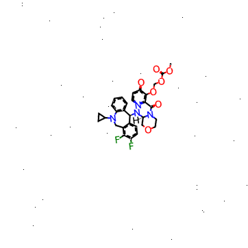 COC(=O)OCOc1c2n(ccc1=O)N([C@@H]1c3ccccc3N(C3CC3)Cc3c1ccc(F)c3F)[C@@H]1COCCN1C2=O